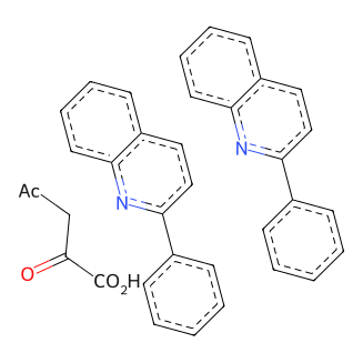 CC(=O)CC(=O)C(=O)O.c1ccc(-c2ccc3ccccc3n2)cc1.c1ccc(-c2ccc3ccccc3n2)cc1